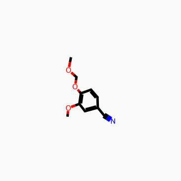 COCOc1ccc(C#N)cc1OC